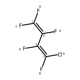 FC(F)=C(F)C(F)=C(F)Cl